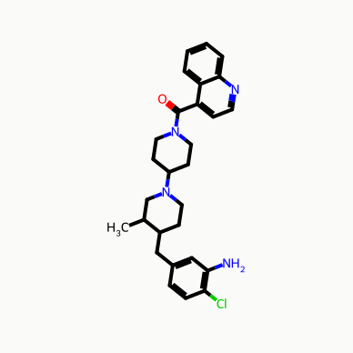 CC1CN(C2CCN(C(=O)c3ccnc4ccccc34)CC2)CCC1Cc1ccc(Cl)c(N)c1